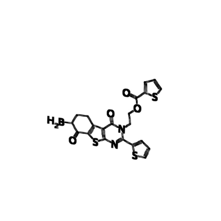 BC1CCc2c(sc3nc(-c4cccs4)n(CCOC(=O)c4cccs4)c(=O)c23)C1=O